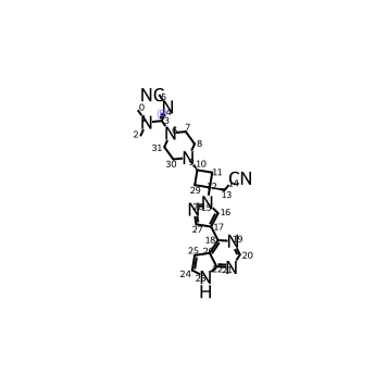 CN(C)/C(=N\C#N)N1CCN([C@H]2C[C@](CC#N)(n3cc(-c4ncnc5[nH]ccc45)cn3)C2)CC1